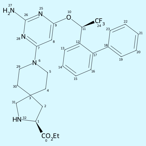 CCOC(=O)[C@@H]1CC2(CCN(c3cc(O[C@H](c4ccccc4-c4ccccc4)C(F)(F)F)nc(N)n3)CC2)CN1